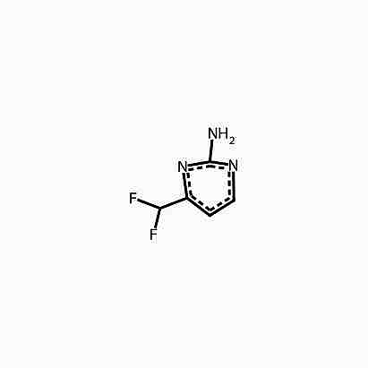 Nc1nccc(C(F)F)n1